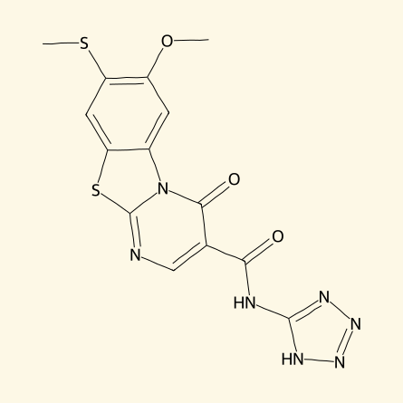 COc1cc2c(cc1SC)sc1ncc(C(=O)Nc3nnn[nH]3)c(=O)n12